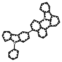 c1ccc(-n2c3ccccc3c3cc(-c4ccc5c6c4cccc6c4cccc6c7ccccc7n5c46)ccc32)cc1